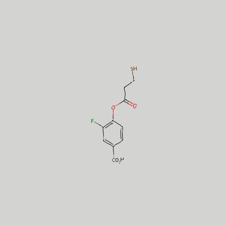 O=C(CCS)Oc1ccc(C(=O)O)cc1F